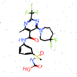 Cc1nc(C(F)(F)F)nc(N2CCCC(F)(F)CC2)c1C(=O)Nc1cccc(S(C)(=O)=NC(=O)O)c1